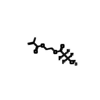 C=C(C)C(=O)OCCOC(=O)C(F)(F)C(F)(F)C(F)(F)F